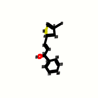 Cc1csc(C=CC(=O)c2ccccc2)c1